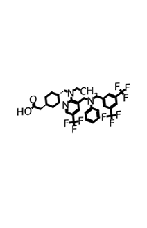 CCN(C[C@H]1CC[C@H](CC(=O)O)CC1)c1ncc(C(F)(F)F)cc1CN(Cc1cc(C(F)(F)F)cc(C(F)(F)F)c1)c1ccccc1